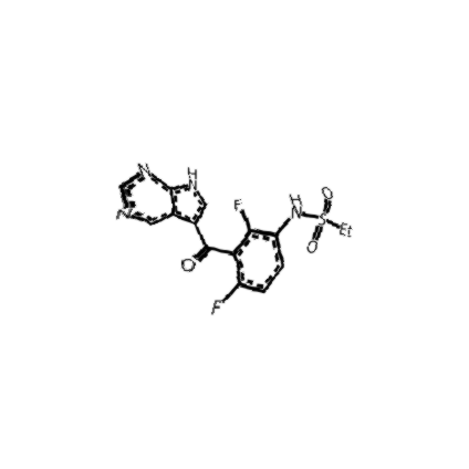 CCS(=O)(=O)Nc1ccc(F)c(C(=O)c2c[nH]c3ncncc23)c1F